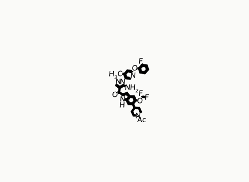 CC(=O)N1CCC(c2cc3[nH]c(C(=O)c4cnn(-c5cnc(Oc6ccccc6F)cc5C)c4N)cc3cc2OC(F)F)CC1